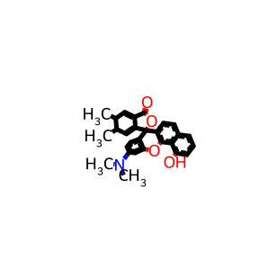 CC1C=C2C(=O)OC3(C2=CC1C)c1ccc(N(C)C)cc1Oc1c3ccc2cccc(O)c12